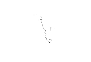 C=CC(=O)OCCCCCCCCCCC[N+]1(C)CCCC1.O=S(=O)([O-])C(F)(F)F